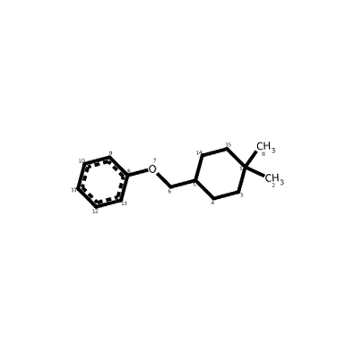 CC1(C)CCC(COc2ccccc2)CC1